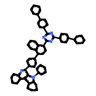 c1ccc(-c2ccc(-c3nc(-c4ccc(-c5ccccc5)cc4)nc(-c4ccc(-c5ccc(-c6nc7ccccc7c7c8ccccc8n(-c8ccccc8)c67)cc5)c5ccccc45)n3)cc2)cc1